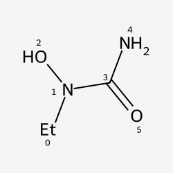 [CH2]CN(O)C(N)=O